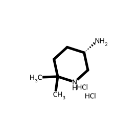 CC1(C)CC[C@H](N)CN1.Cl.Cl